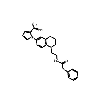 N=C(N)C1=CC=C[SH]1c1ccc2c(c1)CCCN2CCNC(=O)Oc1ccccc1